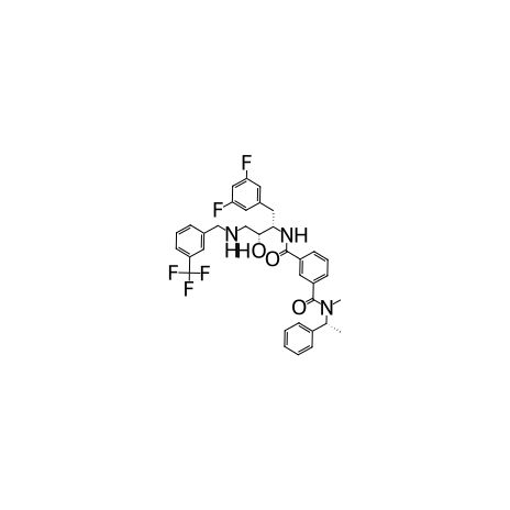 C[C@H](c1ccccc1)N(C)C(=O)c1cccc(C(=O)N[C@@H](Cc2cc(F)cc(F)c2)[C@H](O)CNCc2cccc(C(F)(F)F)c2)c1